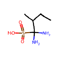 CCC(C)C(N)(N)S(=O)(=O)O